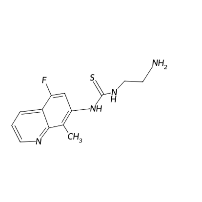 Cc1c(NC(=S)NCCN)cc(F)c2cccnc12